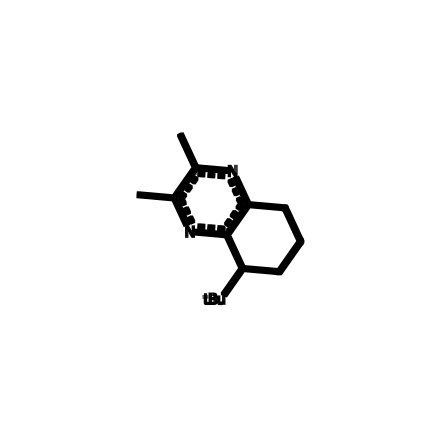 Cc1nc2c(nc1C)C(C(C)(C)C)CCC2